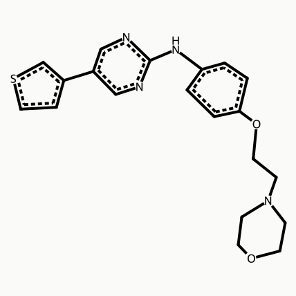 c1cc(-c2cnc(Nc3ccc(OCCN4CCOCC4)cc3)nc2)cs1